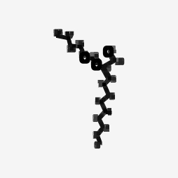 CCCCCCCCC=C(C=O)OCOCCCC